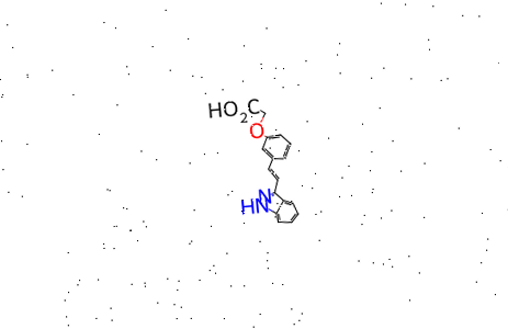 O=C(O)COc1cccc(C=Cc2n[nH]c3ccccc23)c1